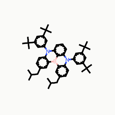 CC(C)Cc1ccc2c(c1)B1c3cc(CC(C)C)ccc3N(c3cc(C(C)(C)C)cc(C(C)(C)C)c3)c3cccc(c31)N2c1cc(C(C)(C)C)cc(C(C)(C)C)c1